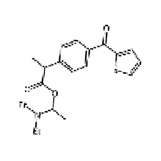 CCN(CC)C(C)OC(=O)C(C)c1ccc(C(=O)c2cccs2)cc1